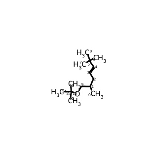 CC(C/C=C/C(C)(C)C)COC(C)(C)C